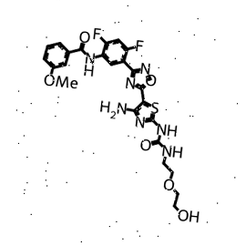 COc1cccc(C(=O)Nc2cc(-c3noc(-c4sc(NC(=O)NCCOCCO)nc4N)n3)c(F)cc2F)c1